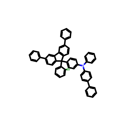 Brc1ccccc1C1(c2ccc(N(c3ccccc3)c3ccc(-c4ccccc4)cc3)cc2)c2ccc(-c3ccccc3)cc2-c2cc(-c3ccccc3)ccc21